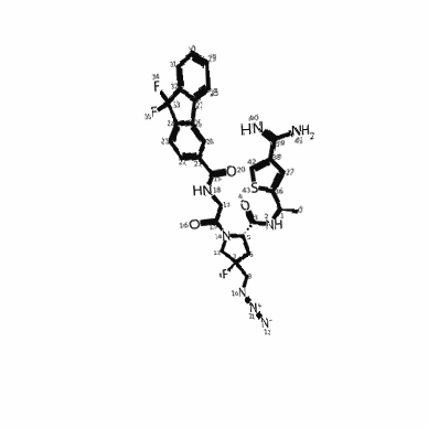 C[C@@H](NC(=O)[C@@H]1C[C@](F)(CN=[N+]=[N-])CN1C(=O)CNC(=O)c1ccc2c(c1)-c1ccccc1C2(F)F)c1cc(C(=N)N)cs1